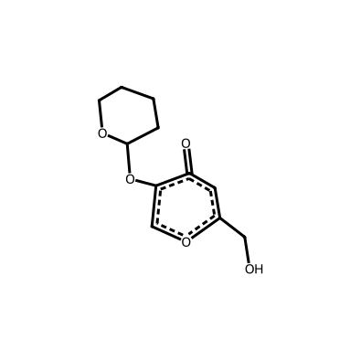 O=c1cc(CO)occ1OC1CCCCO1